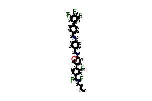 C=CCC/C(F)=C(\F)c1ccc(C2CCC(/C=C/C3CCC(/C=C/C4CCC(c5cc(F)c(F)c(F)c5)CC4)CC3)OC2)c(F)c1